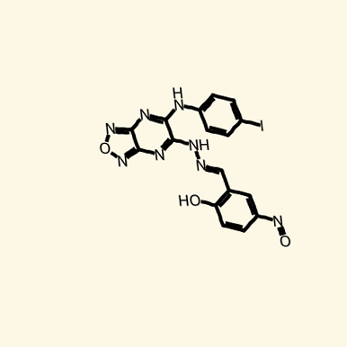 O=Nc1ccc(O)c(/C=N/Nc2nc3nonc3nc2Nc2ccc(I)cc2)c1